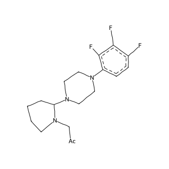 CC(=O)CN1CCCCC1N1CCN(c2ccc(F)c(F)c2F)CC1